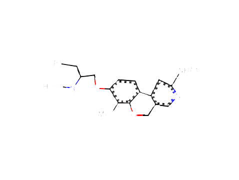 COc1c(OCC(CC(C)C)NC(=O)O)ccc2c1OCc1cnc(NC(C)=O)cc1-2